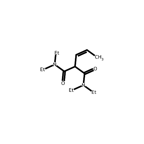 C/C=C\C(C(=O)N(CC)CC)C(=O)N(CC)CC